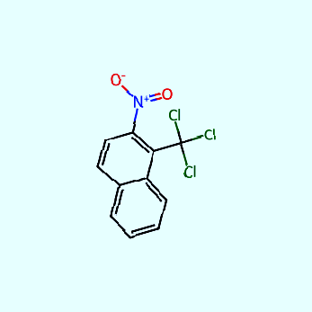 O=[N+]([O-])c1ccc2ccccc2c1C(Cl)(Cl)Cl